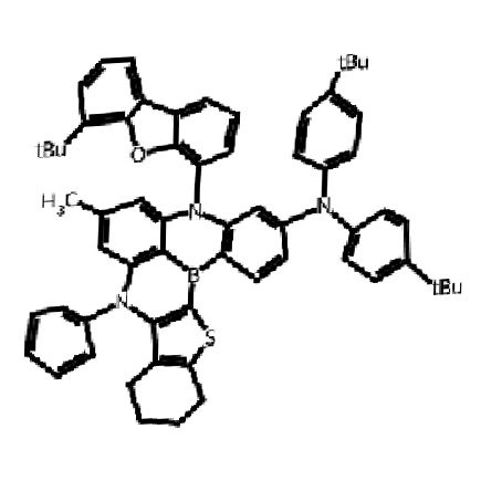 Cc1cc2c3c(c1)N(c1cccc4c1oc1c(C(C)(C)C)cccc14)c1cc(N(c4ccc(C(C)(C)C)cc4)c4ccc(C(C)(C)C)cc4)ccc1B3c1sc3c(c1N2c1ccccc1)CCCC3